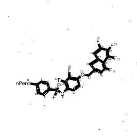 CCCCCc1ccc(C(F)(F)Oc2ccc(OCc3cc(F)c4c(F)c(F)c(F)cc4c3)c(F)c2F)cc1